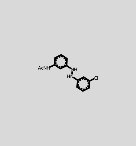 CC(=O)Nc1cccc(NNc2cccc(Cl)c2)c1